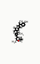 CCc1c2c(nc3ccc(O)cc13)-c1cc3c(c(=O)n1C2)COC(=O)[C@@]3(CC)CC(=O)C(CC(C)C)NC(=O)C(F)(F)F